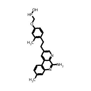 Cc1ccc2c(c1)nc(N)c1ncc(CCc3ccc(OCPO)cc3C)cc12